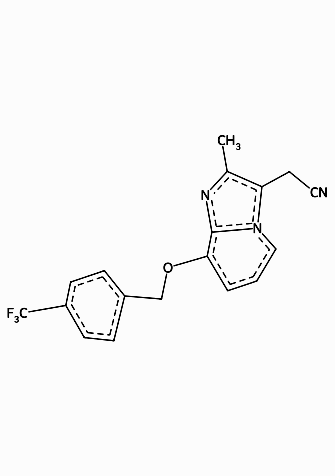 Cc1nc2c(OCc3ccc(C(F)(F)F)cc3)cccn2c1CC#N